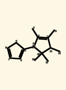 CC1=C(C)N(C2=CC=CC2)C(C)(C)C1C